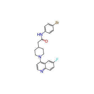 O=C(CC1CCN(c2ccnc3ccc(F)cc23)CC1)Nc1ccc(Br)cc1